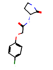 O=C(COc1ccc(Br)cc1)N[C@H]1CCNC1=O